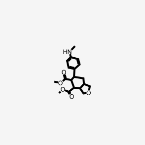 CNc1ccc(C2CC3COCC3C(C(=O)OC)C2C(=O)OC)cc1